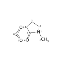 CN1CCCC1=O.O=S=O